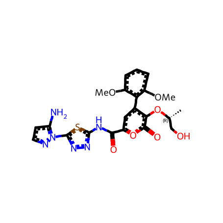 COc1cccc(OC)c1-c1cc(C(=O)Nc2nnc(-n3nccc3N)s2)oc(=O)c1O[C@H](C)CO